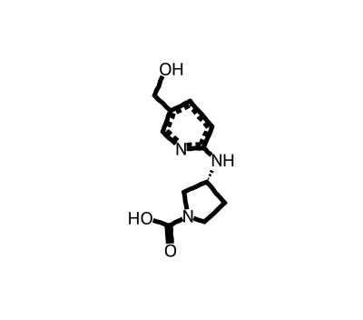 O=C(O)N1CC[C@@H](Nc2ccc(CO)cn2)C1